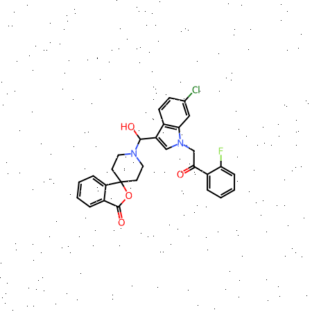 O=C(Cn1cc(C(O)N2CCC3(CC2)OC(=O)c2ccccc23)c2ccc(Cl)cc21)c1ccccc1F